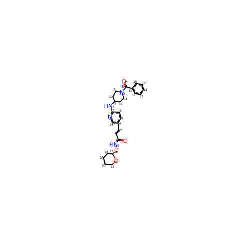 O=C(C=Cc1ccc(NC2CCN(C(=O)c3ccccc3)CC2)nc1)NOC1CCCCO1